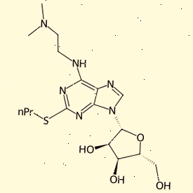 CCCSc1nc(NCCN(C)C)c2ncn([C@@H]3O[C@H](CO)[C@@H](O)[C@H]3O)c2n1